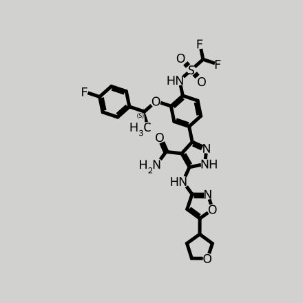 C[C@H](Oc1cc(-c2n[nH]c(Nc3cc(C4CCOC4)on3)c2C(N)=O)ccc1NS(=O)(=O)C(F)F)c1ccc(F)cc1